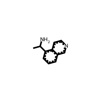 CC(N)c1cccc2cnccc12